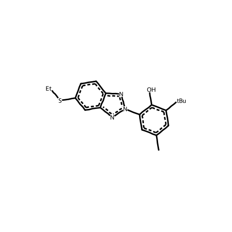 CCSc1ccc2nn(-c3cc(C)cc(C(C)(C)C)c3O)nc2c1